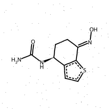 NC(=O)N[C@H]1CCC(=NO)c2sccc21